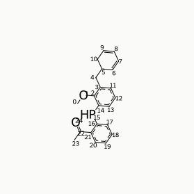 COc1c(CC2C=CC=CC2)cccc1Pc1ccccc1C(C)=O